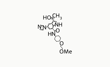 COCCO[C@H]1CC[C@H](NC(=O)c2cc(-n3ccnc3)cc3c([C@H](C)O)c[nH]c23)CC1